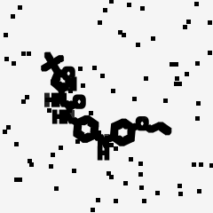 C=CCOc1ccc(Nc2ccc(NC(=O)Nc3cc(C(C)(C)C)on3)cc2)cc1